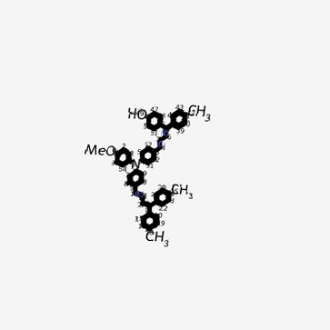 COc1ccc(N(c2ccc(/C=C/C=C(c3ccc(C)cc3)c3ccc(C)cc3)cc2)c2ccc(/C=C/C=C(/c3ccc(C)cc3)c3ccc(O)cc3)cc2)cc1